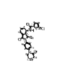 O=C(Nc1cccc2c1C(=O)N(c1ccc(N3CCOCC3=O)cc1)C2=O)c1ccc(Cl)s1